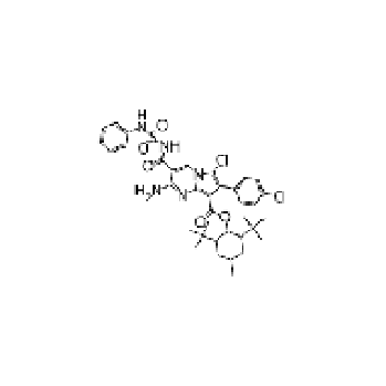 CC1CC(C(C)(C)C)C(OC(=O)c2c(-c3ccc(Cl)cc3)c(Cl)n3cc(C(=O)NS(=O)(=O)Nc4ccccc4)c(N)nc23)C(C(C)(C)C)C1